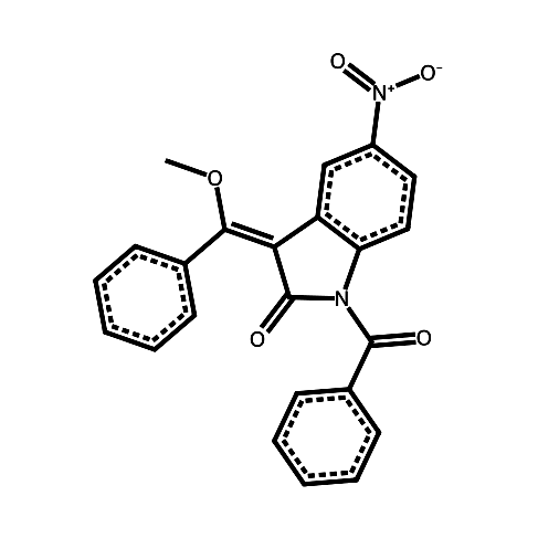 COC(=C1C(=O)N(C(=O)c2ccccc2)c2ccc([N+](=O)[O-])cc21)c1ccccc1